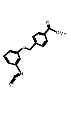 COC(=O)c1ccc(CSc2cccc(N=C=S)c2)cc1